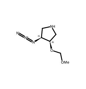 COCO[C@@H]1CNC[C@@H]1N=[N+]=[N-]